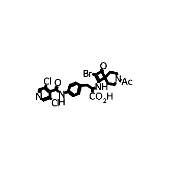 CC(=O)N1CCC2(CC1)C(=O)C(Br)=C2NC(Cc1ccc(NC(=O)c2c(Cl)cncc2Cl)cc1)C(=O)O